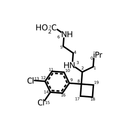 CC(C)CC(NCCNC(=O)O)C1(c2ccc(Cl)c(Cl)c2)CCC1